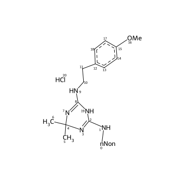 CCCCCCCCCNC1=NC(C)(C)N=C(NCCc2ccc(OC)cc2)N1.Cl